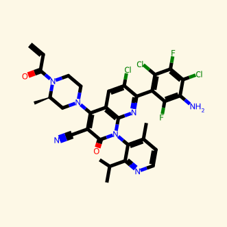 C=CC(=O)N1CCN(c2c(C#N)c(=O)n(-c3c(C)ccnc3C(C)C)c3nc(-c4c(F)c(N)c(Cl)c(F)c4Cl)c(Cl)cc23)C[C@H]1C